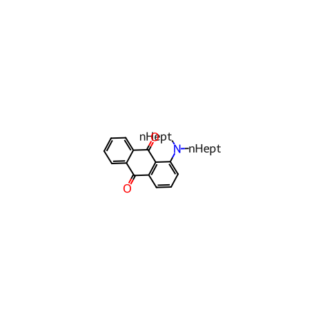 CCCCCCCN(CCCCCCC)c1cccc2c1C(=O)c1ccccc1C2=O